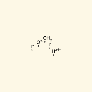 O.[Hf+4].[I-].[I-].[O-2]